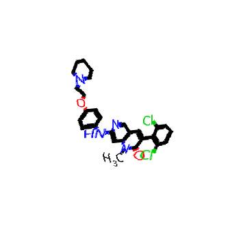 Cn1c(=O)c(-c2c(Cl)cccc2Cl)cc2cnc(Nc3ccc(OCCN4CCCCC4)cc3)cc21